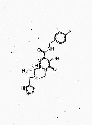 CC1(C)c2nc(C(=O)NCc3ccc(F)cc3)c(O)c(=O)n2CCN1Cc1ccn[nH]1